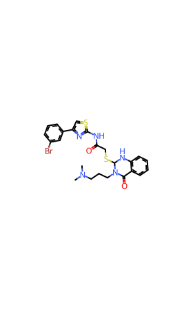 CN(C)CCCN1C(=O)c2ccccc2NC1SCC(=O)Nc1nc(-c2cccc(Br)c2)cs1